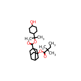 CCC(C)(C)C(=O)OC12CC3CC(C1)CC(C(=O)OC(C)(C)C1CCC(O)CC1)(C3)C2